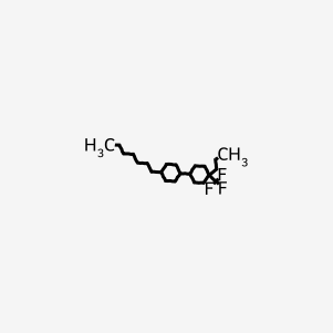 CCCCCCCC1CCC(C2CCC(CCC)(C(F)(F)F)CC2)CC1